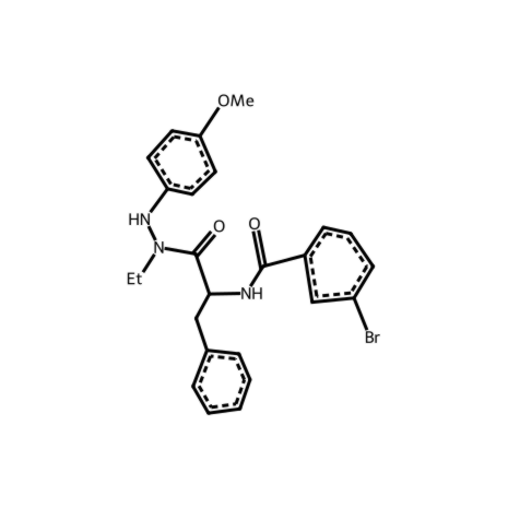 CCN(Nc1ccc(OC)cc1)C(=O)C(Cc1ccccc1)NC(=O)c1cccc(Br)c1